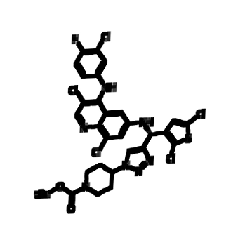 CC(C)(C)OC(=O)N1CCC(n2cc([C@@H](Nc3cc(Cl)c4ncc(Cl)c(Nc5ccc(F)c(Cl)c5)c4c3)c3cc(Cl)sc3Cl)nn2)CC1